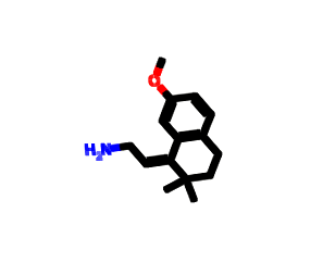 COc1ccc2c(c1)/C(=C\CN)C(C)(C)CC2